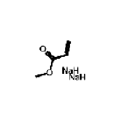 C=CC(=O)OC.[NaH].[NaH]